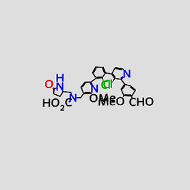 COc1cc(-c2nccc(-c3cccc(-c4ccc(CN(CC5CCC(=O)N5)C(=O)O)c(OC)n4)c3Cl)c2Cl)ccc1C=O